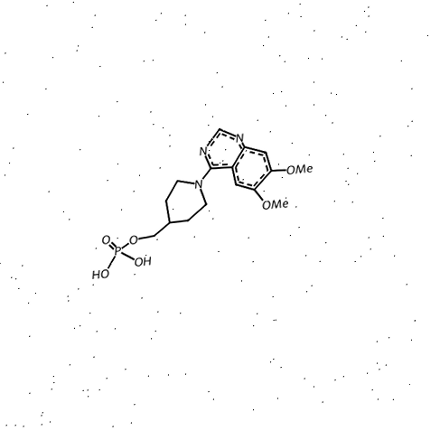 COc1cc2ncnc(N3CCC(COP(=O)(O)O)CC3)c2cc1OC